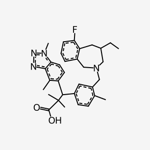 CCC1Cc2c(F)cccc2CN(Cc2cc(C(c3ccc4c(nnn4C)c3C)C(C)(C)C(=O)O)ccc2C)C1